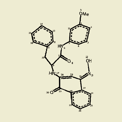 COc1cccc(NC(=O)C(Cc2ccccc2)NC2=CC(=NO)c3ccccc3C2=O)c1